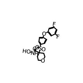 O=C(NO)C1(S(=O)(=O)c2ccc(Oc3cc(F)cc(F)c3)cc2)CCOCC1